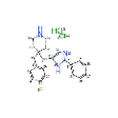 Cl.Cl.Fc1ccc(CC2(Cc3cnc(-c4ccccc4)[nH]3)CCNCC2)cc1